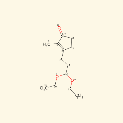 CC1=C(CCC(OCC(Cl)(Cl)Cl)OCC(Cl)(Cl)Cl)CCC1=O